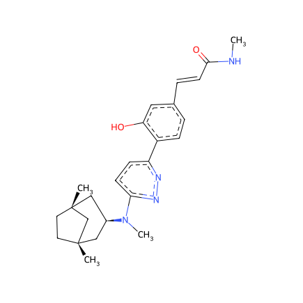 CNC(=O)/C=C/c1ccc(-c2ccc(N(C)[C@H]3C[C@]4(C)CC[C@](C)(C3)C4)nn2)c(O)c1